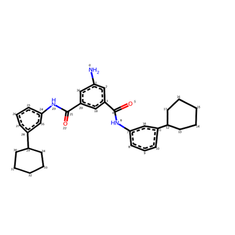 Nc1cc(C(=O)Nc2cccc(C3CCCCC3)c2)cc(C(=O)Nc2cccc(C3CCCCC3)c2)c1